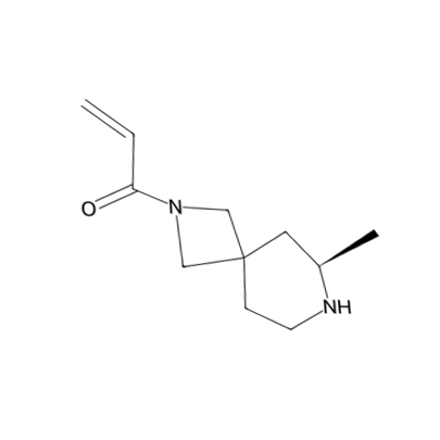 C=CC(=O)N1CC2(CCN[C@H](C)C2)C1